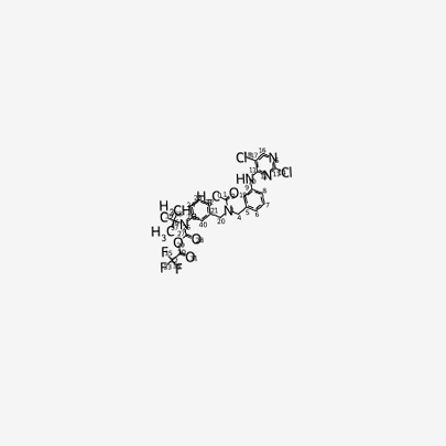 CC(=O)N(Cc1cccc(Nc2nc(Cl)ncc2Cl)c1)Cc1cccc(N(C(=O)OC(=O)C(F)(F)F)C(C)(C)C)c1